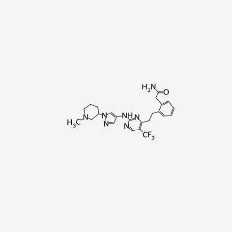 CN1CCCC(n2cc(Nc3ncc(C(F)(F)F)c(CCc4ccccc4CC(N)=O)n3)cn2)C1